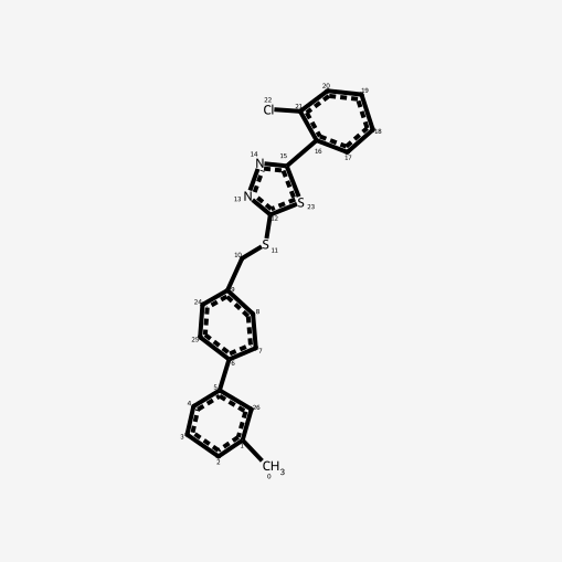 Cc1cccc(-c2ccc(CSc3nnc(-c4ccccc4Cl)s3)cc2)c1